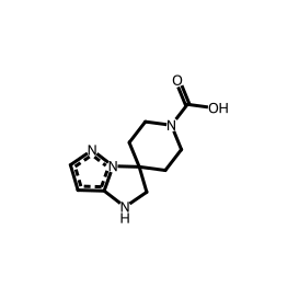 O=C(O)N1CCC2(CC1)CNc1ccnn12